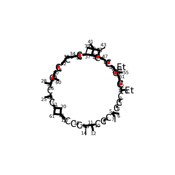 CCC12CCCC(C)(I)CCCC(C)C(I)CCCC3(C)CC(C)(CC(C)CC4(C)CC5(CC6(CC7(C6)C[C@]6(C7)CC7(C)[C@@H](C)C8C76C[C@]86CC7(CC(C1)(C2)[C@@]7(C)CC)C6)C5)C4C)C3